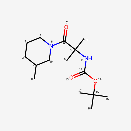 CC1CCCN(C(=O)C(C)(C)NC(=O)OC(C)(C)C)C1